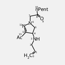 C=CCNC1CN(CC(=O)CCCCC)N=C1C(C)=O